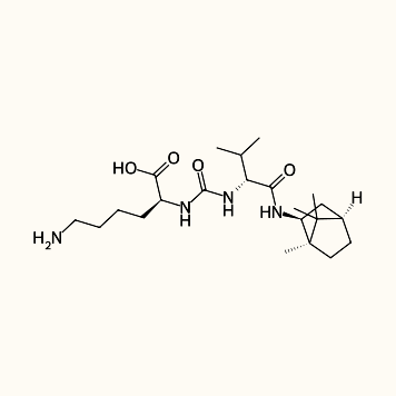 CC(C)[C@@H](NC(=O)N[C@@H](CCCCN)C(=O)O)C(=O)N[C@H]1C[C@H]2CC[C@]1(C)C2(C)C